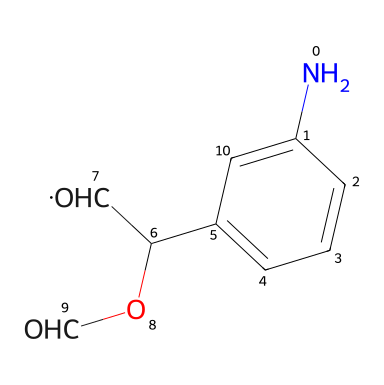 Nc1cccc(C([C]=O)OC=O)c1